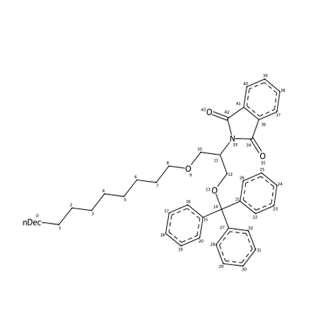 CCCCCCCCCCCCCCCCCCOCC(COC(c1ccccc1)(c1ccccc1)c1ccccc1)N1C(=O)c2ccccc2C1=O